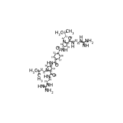 CC(C)CCn1cc(NC(=O)c2ccc(C(=O)Nc3cc(C(=O)NCCNC(=N)N)n(CCC(C)C)c3)cc2)cc1C(=O)NCCNC(=N)N